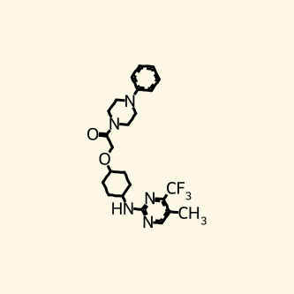 Cc1cnc(NC2CCC(OCC(=O)N3CCN(c4ccccc4)CC3)CC2)nc1C(F)(F)F